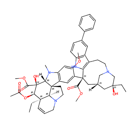 CC[C@]1(O)C[C@H]2CN(CCc3c([nH]c4ccc(-c5ccccc5)cc34)[C@@](C(=O)OC)(c3cc4c(cc3OC)N(C)[C@H]3[C@@](O)(C(=O)OC)[C@H](OC(C)=O)[C@]5(CC)C=CCN6CC[C@]43[C@@H]65)C2)C1